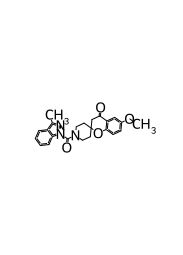 COc1ccc2c(c1)C(=O)CC1(CCN(C(=O)n3nc(C)c4ccccc43)CC1)O2